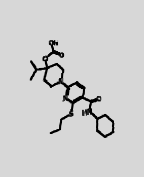 CCCSc1nc(N2CCC(OC(=O)O)(C(C)C)CC2)ccc1C(=O)NC1CCCCC1